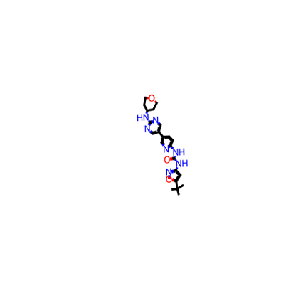 CC(C)(C)c1cc(NC(=O)Nc2ccc(-c3cnc(NC4CCOCC4)nc3)cn2)no1